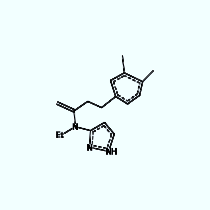 C=C(CCc1ccc(C)c(C)c1)N(CC)c1cc[nH]n1